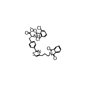 COC(=O)[C@H](Cc1ccc(-c2nc(CCCN3C(=O)c4ccccc4C3=O)cs2)cc1)NC(=O)c1c(Cl)cccc1Cl